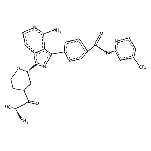 C[C@@H](O)C(=O)N1CCO[C@@H](c2nc(-c3ccc(C(=O)Nc4cc(C(F)(F)F)ccn4)cc3)c3c(N)nccn23)C1